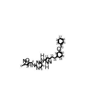 Cc1cc(CNc2nccc(Nc3cc(CCc4cccc(OCc5ccccc5)c4)n[nH]3)n2)on1